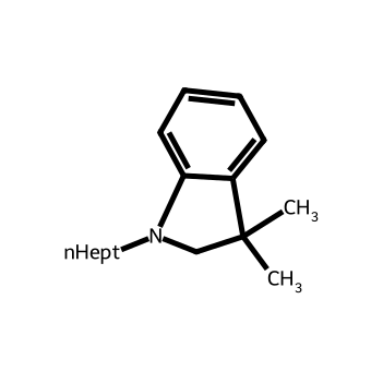 CCCCCCCN1CC(C)(C)c2ccccc21